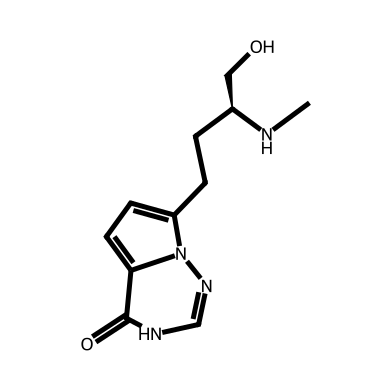 CN[C@H](CO)CCc1ccc2c(=O)[nH]cnn12